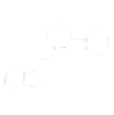 c1ccc2c(CCN3CCCCC(N4CCCCCC4)C3)csc2c1